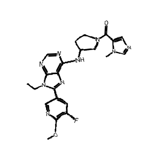 CCn1c(-c2cnc(OC)c(F)c2)nc2c(NC3CCN(C(=O)c4cncn4C)C3)ncnc21